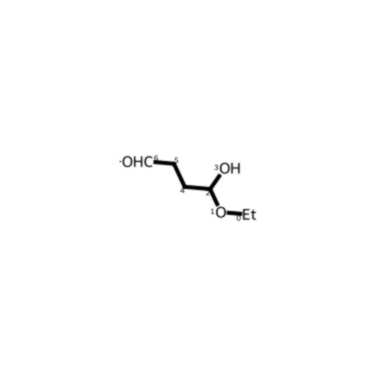 CCOC(O)CC[C]=O